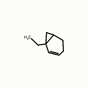 C[CH]C12C=CCCC1C2